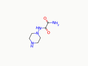 NC(=O)C(=O)NN1CCNCC1